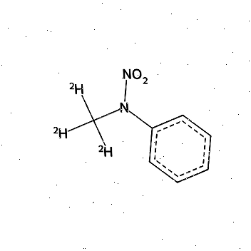 [2H]C([2H])([2H])N(c1ccccc1)[N+](=O)[O-]